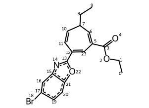 CCOC(=O)C1=CC(CC)C=CC(c2nc3cc(Br)ccc3o2)=C1